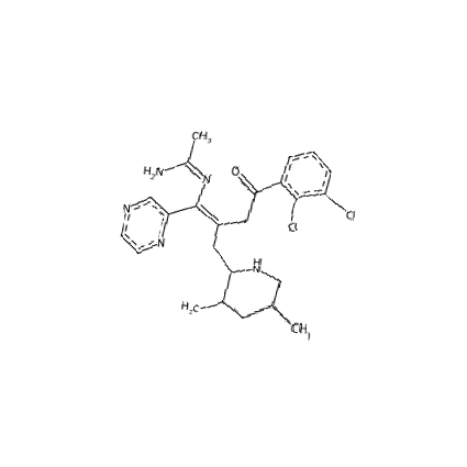 C/C(N)=N/C(=C(\CC(=O)c1cccc(Cl)c1Cl)CC1NCC(C)CC1C)c1cnccn1